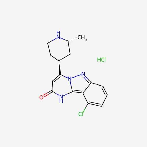 C[C@@H]1C[C@@H](c2cc(=O)[nH]c3c4c(Cl)cccc4nn23)CCN1.Cl